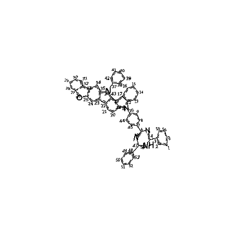 c1ccc(C2=NC(c3ccc(-n4c5ccccc5c5c4ccc4c6cc7oc8ccccc8c7cc6n(-c6ccccc6)c45)cc3)=NC(c3ccccc3)N2)cc1